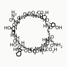 CCCC[C@H]1C(=O)N[C@@H](CCC(=O)O)C(=O)N[C@H](C(=O)NCC(N)=O)CSCC(=O)N[C@@H](Cc2ccc(O)cc2)C(=O)N2CCCC[C@H]2C(=O)N[C@@H](CC(=O)O)C(=O)N2CCC[C@H]2C(=O)NCC(=O)N[C@@H](CCC(N)=O)C(=O)N2C[C@H](O)C[C@H]2C(=O)NCC(=O)N[C@@H](CO)C(=O)N[C@@H](Cc2c[nH]c3ccccc23)C(=O)N(C)CC(=O)N1C